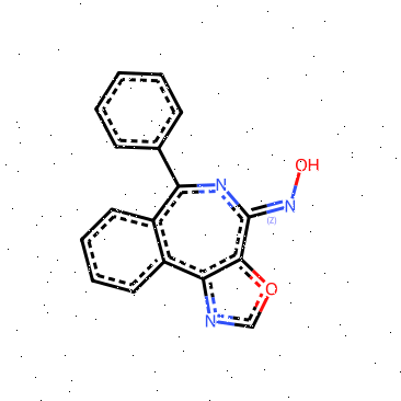 O/N=c1\nc(-c2ccccc2)c2ccccc2c2ncoc12